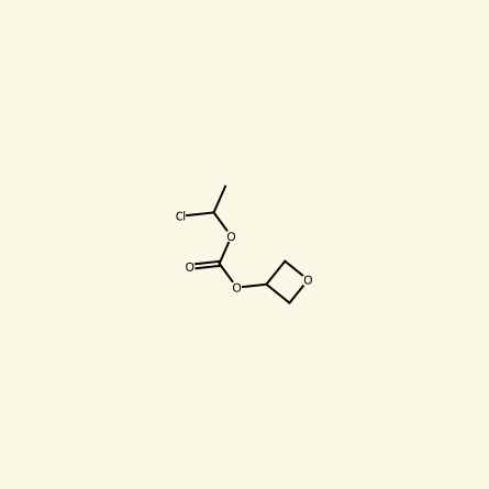 CC(Cl)OC(=O)OC1COC1